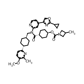 COc1ccc([C@H]2CC[C@H](CN(c3cc(-c4coc(C5CC5)n4)ccn3)C(=O)[C@H]3CC[C@H](OC(=O)N4CC(C)C4)CC3)CC2)nc1C